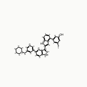 Oc1cc(F)cc(-c2cccc3[nH]c(-c4n[nH]c5ccc(-c6cncc(CN7CCCCC7)c6)nc45)cc23)c1